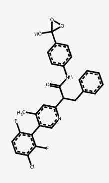 Cc1cc(C(Cc2ccccc2)C(=O)Nc2ccc(C3(O)OO3)cc2)ncc1-c1c(F)ccc(Cl)c1F